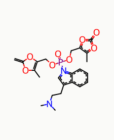 C=C1OC(C)=C(COP(=O)(OCc2oc(=O)oc2C)n2cc(CCN(C)C)c3ccccc32)O1